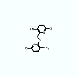 Nc1ccc(Cl)nc1SSc1nc(Cl)ccc1N